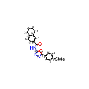 CSc1ccc(-c2nnc(NC(=O)c3ccc4c(c3)CCCC4)o2)cc1